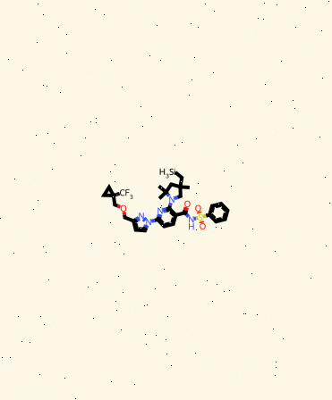 CC1(C[SiH3])CN(c2nc(-n3ccc(COCC4(C(F)(F)F)CC4)n3)ccc2C(=O)NS(=O)(=O)c2ccccc2)C(C)(C)C1